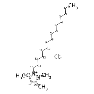 CCCCCCCCCCCCCCCC[n+]1c(C)cc(C)n1C.[Cl-]